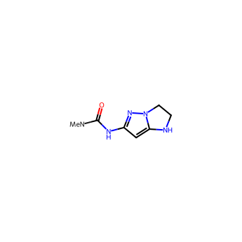 CNC(=O)Nc1cc2n(n1)CCN2